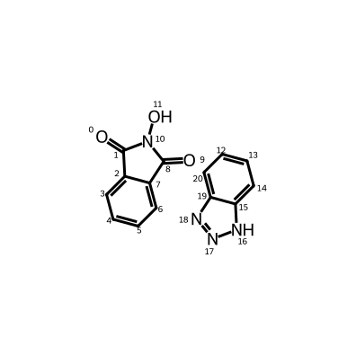 O=C1c2ccccc2C(=O)N1O.c1ccc2[nH]nnc2c1